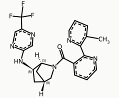 Cc1cccnc1-c1ncccc1C(=O)N1C[C@@H]2C[C@@H](Nc3cnc(C(F)(F)F)cn3)[C@@H]1C2